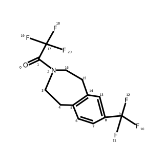 O=C(N1CCc2ccc(C(F)(F)F)cc2CC1)C(F)(F)F